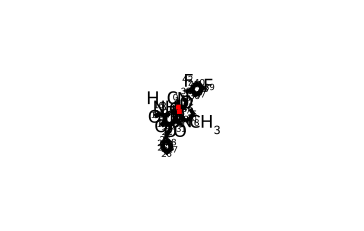 CC1C(=O)[C@@]2(CC[C@H](C)N3C[C@H]2n2cc(C(N)=O)c(=O)c(OCc4ccccc4)c2C3=O)ON1Cc1ccc(F)cc1F